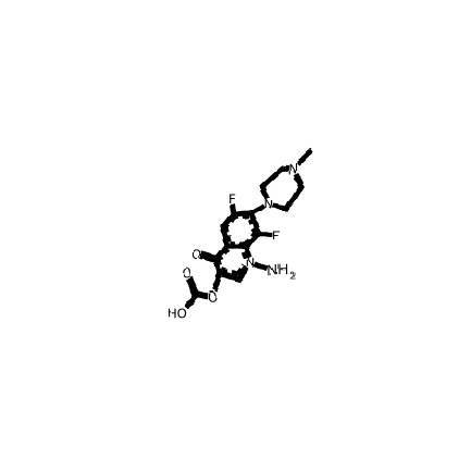 CN1CCN(c2c(F)cc3c(=O)c(OC(=O)O)cn(N)c3c2F)CC1